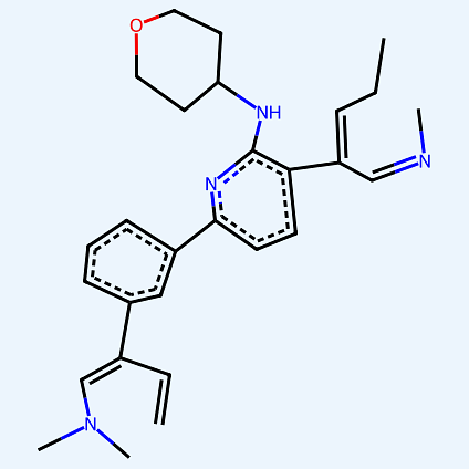 C=C/C(=C\N(C)C)c1cccc(-c2ccc(C(/C=N\C)=C/CC)c(NC3CCOCC3)n2)c1